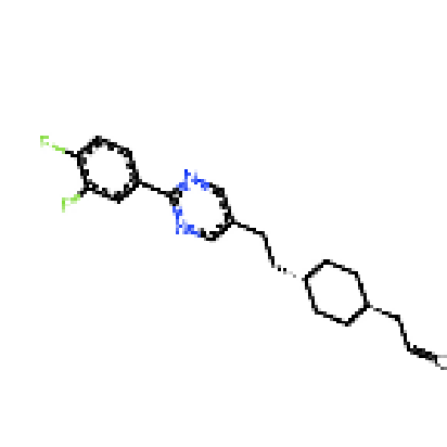 C=CC[C@H]1CC[C@H](CCc2cnc(-c3ccc(F)c(F)c3)nc2)CC1